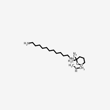 CC1(C)CCCOO1.CNC.NCCCCCCCCCCCN